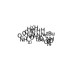 CN(C)S(=O)(=O)NC[C@@H](NC(=O)N[C@H](C(=O)N1C[C@H]2[C@@H]([C@H]1C(=O)NC(CC1CCC1)C(=O)C(N)=O)C2(C)C)C(C)(C)C)C(C)(C)C